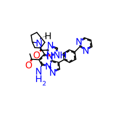 CC(=O)c1c(C2CC3CC[C@@H](C2)N3C(=O)c2nc[nH]n2)nc2c(-c3ccc(-c4ncccn4)cc3)cnn2c1N